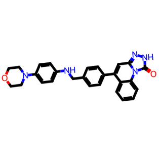 O=c1[nH]nc2cc(-c3ccc(CNc4ccc(N5CCOCC5)cc4)cc3)c3ccccc3n12